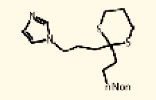 CCCCCCCCCCCC1(CCCn2ccnc2)SCCCS1